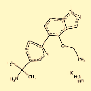 CCOc1c(-c2ccc(C(C)(C)N)cn2)ccc2[nH]ncc12.Cl.Cl.Cl